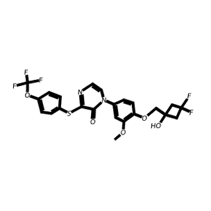 COc1cc(-n2ccnc(Sc3ccc(OC(F)(F)F)cc3)c2=O)ccc1OCC1(O)CC(F)(F)C1